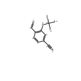 N#Cc1ccc(C=O)c(OC(F)(F)F)c1